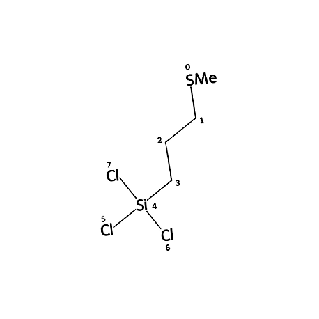 CSCCC[Si](Cl)(Cl)Cl